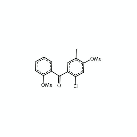 COc1cc(Cl)c(C(=O)c2ccccc2OC)cc1C